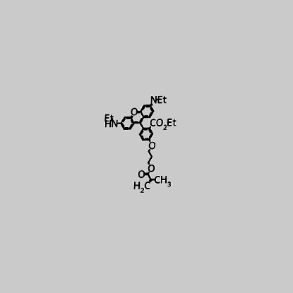 C=C(C)C(=O)OCCCOc1ccc(-c2c3ccc(=NCC)cc-3oc3cc(NCC)ccc23)c(C(=O)OCC)c1